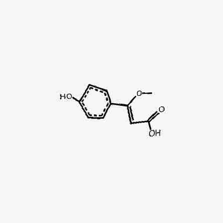 COC(=CC(=O)O)c1ccc(O)cc1